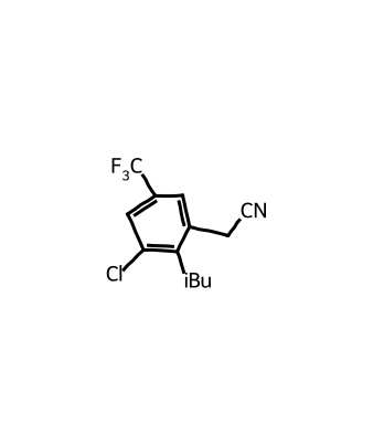 CCC(C)c1c(Cl)cc(C(F)(F)F)cc1CC#N